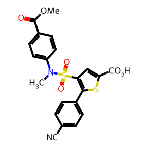 COC(=O)c1ccc(N(C)S(=O)(=O)c2cc(C(=O)O)sc2-c2ccc(C#N)cc2)cc1